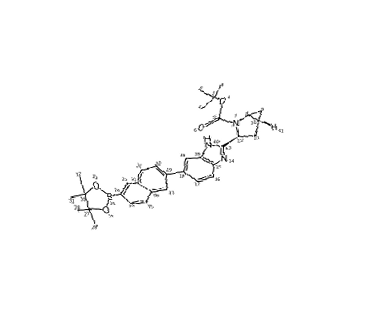 CC(C)(C)OC(=O)N1C2C[C@@H]2C[C@H]1c1nc2ccc(-c3ccc4cc(B5OC(C)(C)C(C)(C)O5)ccc4c3)cc2[nH]1